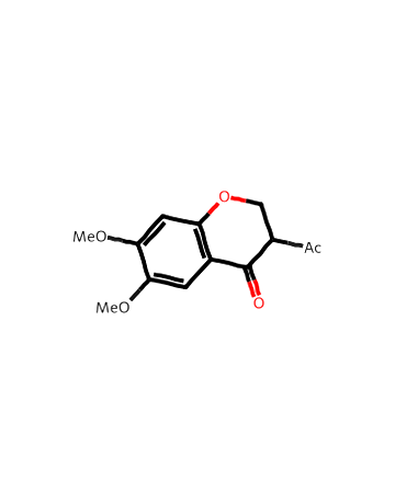 COc1cc2c(cc1OC)C(=O)C(C(C)=O)CO2